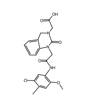 COc1cc(C)c(Cl)cc1NC(=O)CN1C(=O)N(CC(=O)O)Cc2ccccc21